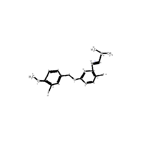 COc1ccc(COc2ncc(F)c(/N=C/N(C)C)n2)cc1F